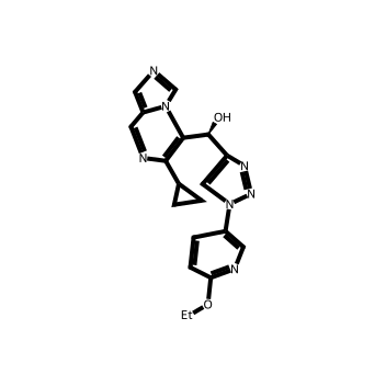 CCOc1ccc(-n2cc([C@H](O)c3c(C4CC4)ncc4cncn34)nn2)cn1